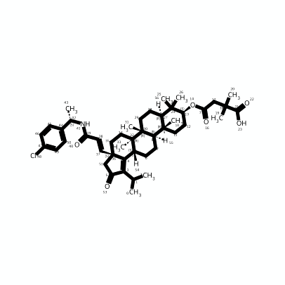 CC(C)C1=C2[C@H]3CC[C@@H]4[C@@]5(C)CC[C@H](OC(=O)CC(C)(C)C(=O)O)C(C)(C)[C@@H]5CC[C@@]4(C)[C@]3(C)CC[C@@]2(C=CC(=O)N[C@@H](C)c2ccc(Cl)cc2)CC1=O